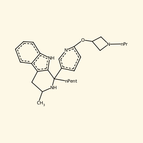 CCCCCC1(c2ccc(OC3CN(CCC)C3)nc2)NC(C)Cc2c1[nH]c1ccccc21